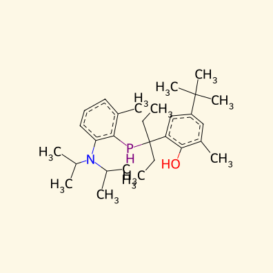 CCC(CC)(Pc1c(C)cccc1N(C(C)C)C(C)C)c1cc(C(C)(C)C)cc(C)c1O